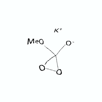 COC1([O-])OO1.[K+]